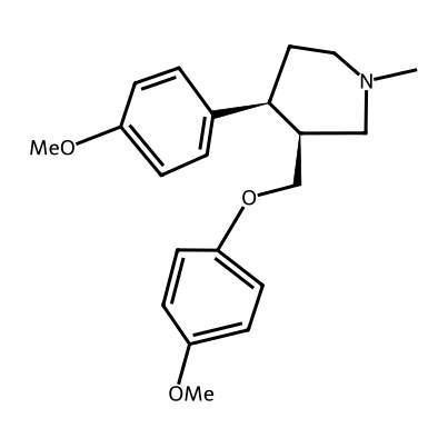 COc1ccc(OC[C@@H]2CN(C)CC[C@@H]2c2ccc(OC)cc2)cc1